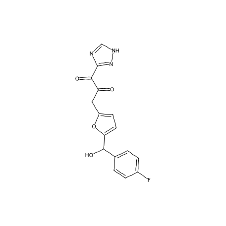 O=C(Cc1ccc(C(O)c2ccc(F)cc2)o1)C(=O)c1nc[nH]n1